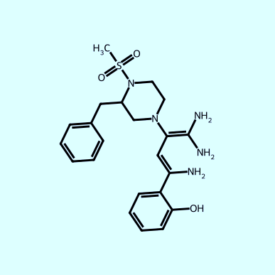 CS(=O)(=O)N1CCN(C(/C=C(\N)c2ccccc2O)=C(N)N)CC1Cc1ccccc1